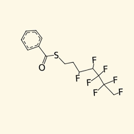 O=C(SCCC(F)C(F)C(F)(F)C(F)(F)CF)c1ccccc1